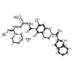 N#C/N=C(/NC[C@H](NC(=O)c1c(Cl)cc2c(c1Cl)CCN(C(=O)c1cc3ccccc3o1)C2)C(=O)O)N1CCC[C@@H](O)C1